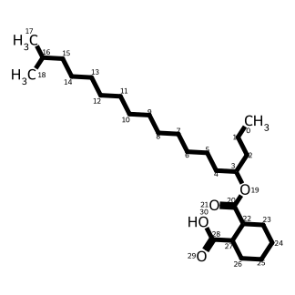 CCCC(CCCCCCCCCCCCC(C)C)OC(=O)C1CCCCC1C(=O)O